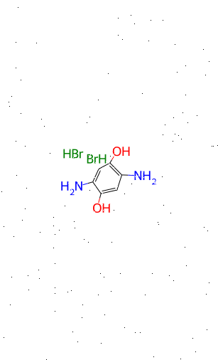 Br.Br.Nc1cc(O)c(N)cc1O